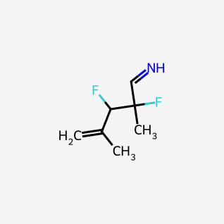 C=C(C)C(F)C(C)(F)C=N